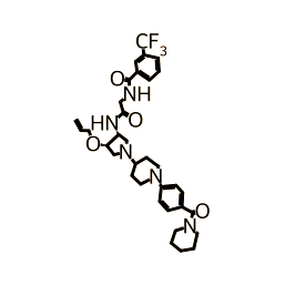 C=CCO[C@@H]1CN(C2CCN(c3ccc(C(=O)N4CCCCC4)cc3)CC2)C[C@H]1NC(=O)CNC(=O)c1cccc(C(F)(F)F)c1